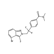 CN(C)C(=O)c1ccc(C(F)(F)Cn2nc3cccc(Br)c3c2F)cc1